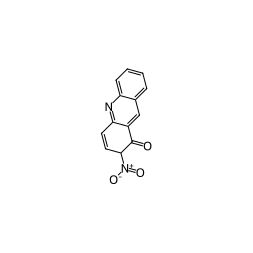 O=C1c2cc3ccccc3nc2C=CC1[N+](=O)[O-]